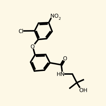 CC(C)(O)CNC(=O)c1cccc(Oc2ccc([N+](=O)[O-])cc2Cl)c1